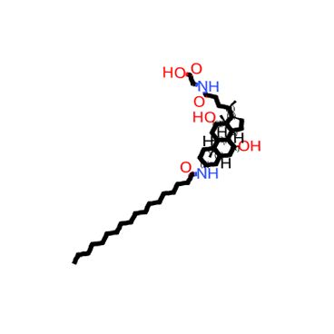 CCCCCCCCCCCCCCCCCC(=O)N[C@H]1CC[C@@]2(C)[C@@H](C1)C[C@@H](O)[C@@H]1[C@@H]2C[C@H](O)[C@]2(C)[C@@H]([C@H](C)CCC(=O)NCC(=O)O)CC[C@@H]12